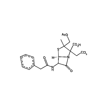 CC(=O)OCC1(C)S[C@@H]2C(NC(=O)Cc3ccccc3)C(=O)N2C1(CC(Cl)(Cl)Cl)C(=O)O